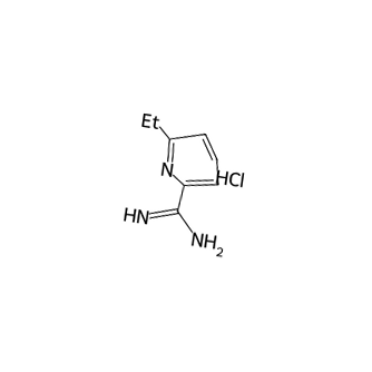 CCc1cccc(C(=N)N)n1.Cl